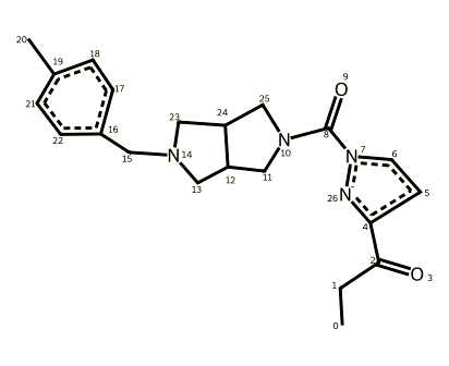 CCC(=O)c1ccn(C(=O)N2CC3CN(Cc4ccc(C)cc4)CC3C2)n1